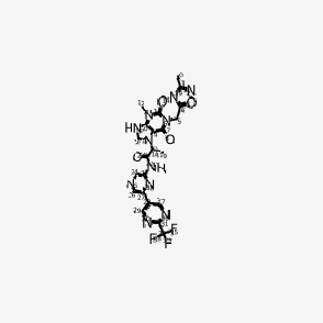 Cc1noc(Cn2c(=O)c3c(n(C)c2=O)NCN3[C@@H](C)C(=O)Nc2cncc(-c3cnc(C(F)(F)F)nc3)n2)n1